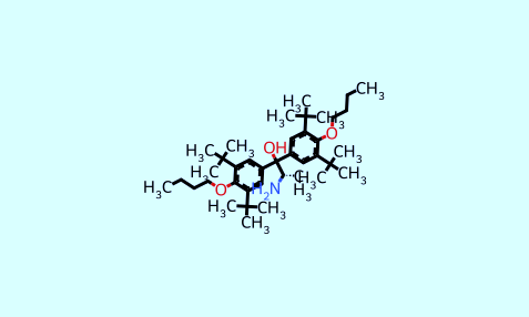 CCCCOc1c(C(C)(C)C)cc(C(O)(c2cc(C(C)(C)C)c(OCCCC)c(C(C)(C)C)c2)[C@H](C)N)cc1C(C)(C)C